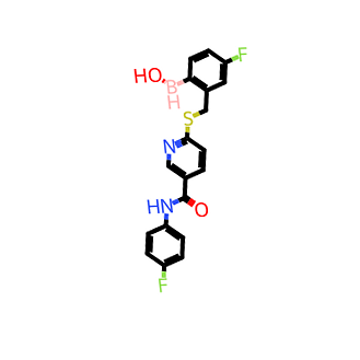 O=C(Nc1ccc(F)cc1)c1ccc(SCc2cc(F)ccc2BO)nc1